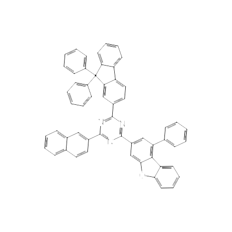 c1ccc(-c2cc(-c3nc(-c4ccc5c(c4)C(c4ccccc4)(c4ccccc4)c4ccccc4-5)nc(-c4ccc5ccccc5c4)n3)cc3oc4ccccc4c23)cc1